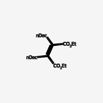 CCCCCCCCCC/C(C(=O)OCC)=C(\CCCCCCCCCC)C(=O)OCC